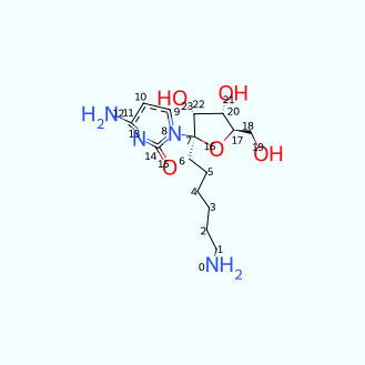 NCCCCCC[C@@]1(n2ccc(N)nc2=O)O[C@H](CO)[C@@H](O)[C@H]1O